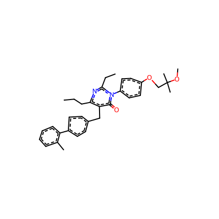 CCCc1nc(CC)n(-c2ccc(OCC(C)(C)OC)cc2)c(=O)c1Cc1ccc(-c2ccccc2C)cc1